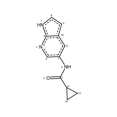 O=C(Nc1cnc2[nH]ccc2c1)C1CC1